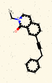 O=c1c2cc(C#CCc3ccccc3)ccc2ccn1CC(F)(F)F